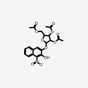 CC(=O)OCC1OC(Oc2cc3ccccc3c([N+](=O)[O-])c2O)C(OC(C)=O)C1OC(C)=O